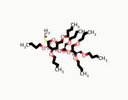 CCCCOCC1O[C@@H](SC)[C@@H](OCCCC)C(OCCCC)[C@@H]1O[C@@H](COCCCC)OC(COCCCC)[C@@H](COCCCC)OCCCC